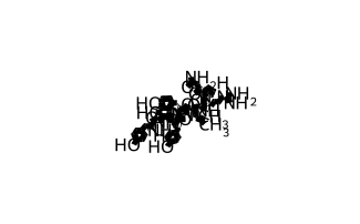 CC(C)C[C@H](NC(=O)[C@@H](Cc1ccc(O)cc1)NC(=O)[C@H](Cc1ccc(O)cc1)NC(=O)[C@H](CO)NC(=O)[C@@H](N)Cc1ccc(O)cc1)C(=O)N[C@@H](CCCNC(=N)N)C(=O)N1CCC[C@H]1C(=O)CC(N)=O